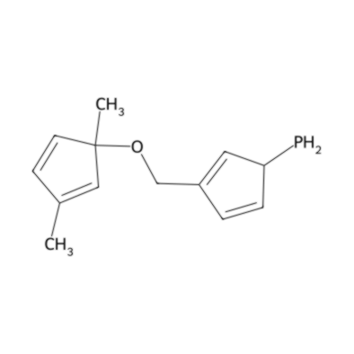 CC1=CC(C)(OCC2=CC(P)C=C2)C=C1